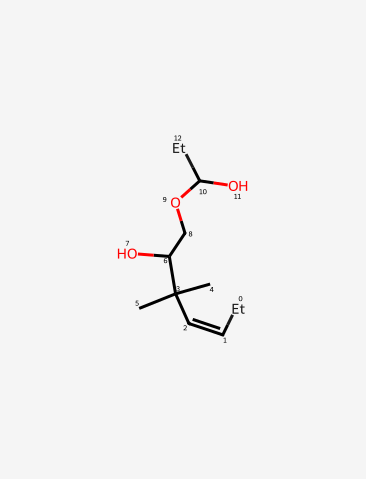 CC/C=C\C(C)(C)C(O)COC(O)CC